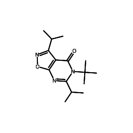 CC(C)c1noc2nc(C(C)C)n(C(C)(C)C)c(=O)c12